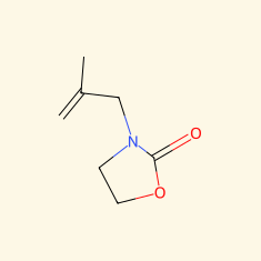 C=C(C)CN1CCOC1=O